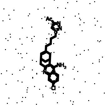 CC(=O)c1cn(CCCCC2=CC3Cc4nc5cc(Cl)ccc5c(N)c4C(C2)C3)nn1